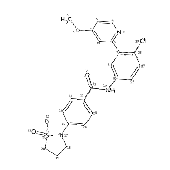 COc1ccnc(-c2cc(NC(=O)c3ccc(N4CCCS4(=O)=O)cc3)ccc2Cl)c1